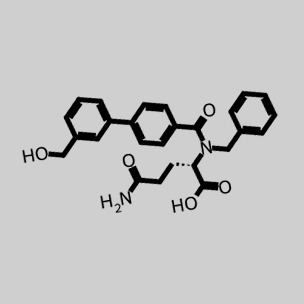 NC(=O)CC[C@@H](C(=O)O)N(Cc1ccccc1)C(=O)c1ccc(-c2cccc(CO)c2)cc1